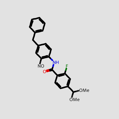 COC(OC)c1ccc(C(=O)Nc2ccc(Cc3ccccc3)cc2N=O)c(F)c1